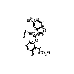 CCCCCC.CCOC(=O)Cc1c(F)cccc1OCc1coc2ccc(Br)cc12